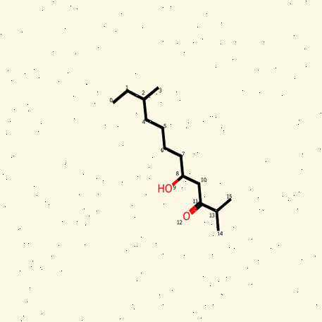 CCC(C)CCCCC(O)CC(=O)C(C)C